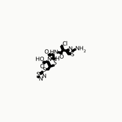 Nc1nc(C(=CCl)C(=O)NC2C(=O)N3C(C(=O)O)=C(CSc4nncs4)CS[C@@H]23)cs1